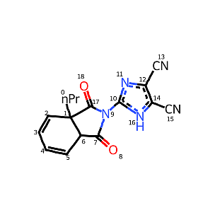 CCCC12C=CC=CC1C(=O)N(c1nc(C#N)c(C#N)[nH]1)C2=O